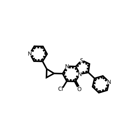 O=c1c(Cl)c(C2CC2c2cccnc2)nc2scc(-c3cccnc3)n12